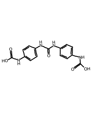 O=C(O)Nc1ccc(NC(=O)Nc2ccc(NC(=O)O)cc2)cc1